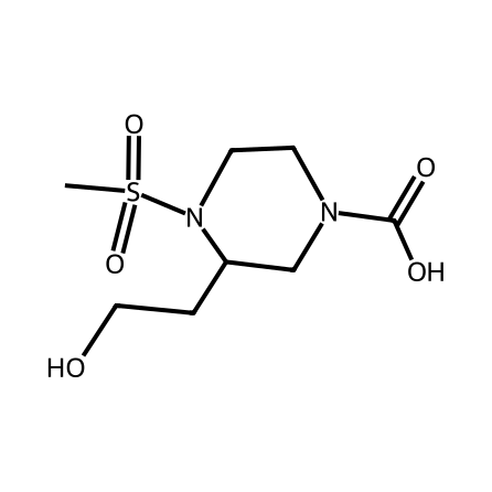 CS(=O)(=O)N1CCN(C(=O)O)CC1CCO